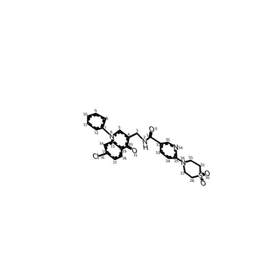 O=C(NCc1cn(-c2ccccc2)c2cc(Cl)ccc2c1=O)c1ccc(N2CCS(=O)(=O)CC2)nc1